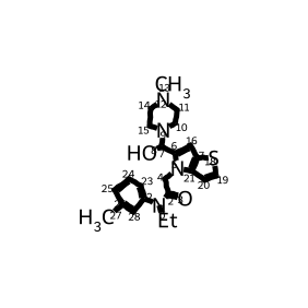 CCN(C(=O)Cn1c(C(O)N2CCN(C)CC2)cc2sccc21)c1cccc(C)c1